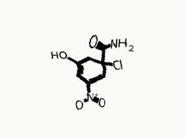 NC(=O)C1(Cl)C=C([N+](=O)[O-])C=C(O)C1